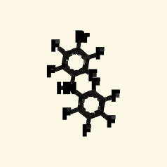 Fc1c(F)c(F)c(Nc2c(F)c(F)c(Br)c(F)c2F)c(F)c1F